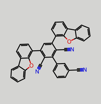 N#Cc1cccc(-c2c(C#N)c(-c3cccc4c3oc3ccccc34)cc(-c3cccc4c3oc3ccccc34)c2C#N)c1